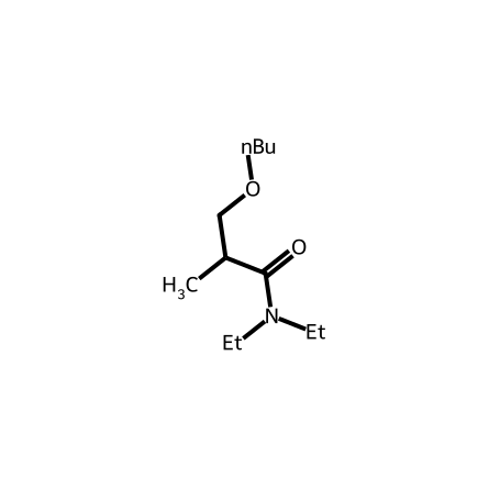 CCCCOCC(C)C(=O)N(CC)CC